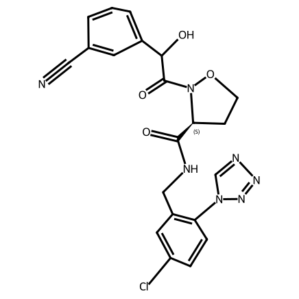 N#Cc1cccc(C(O)C(=O)N2OCC[C@H]2C(=O)NCc2cc(Cl)ccc2-n2cnnn2)c1